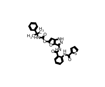 CC(C)(NC(=O)Oc1cc2[nH]nc(NC(=O)c3ccccc3NC(=O)c3cccs3)c2o1)c1ccccc1